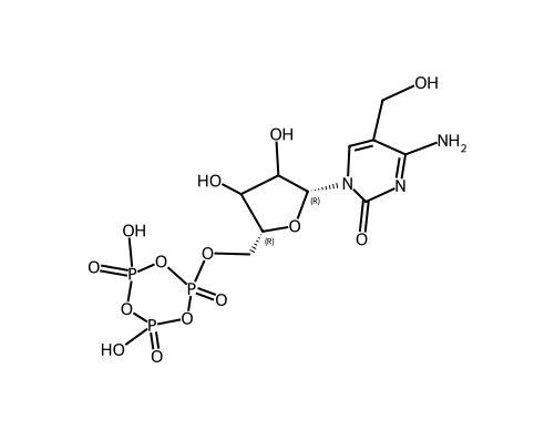 Nc1nc(=O)n([C@@H]2O[C@H](COP3(=O)OP(=O)(O)OP(=O)(O)O3)C(O)C2O)cc1CO